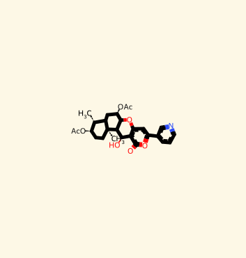 CC(=O)O[C@H]1CC2[C@@H](C)[C@@H](OC(C)=O)CC[C@]2(C)C2C1Oc1cc(-c3cccnc3)oc(=O)c1[C@@H]2O